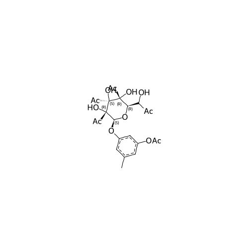 CC(=O)Oc1cc(C)cc(O[C@@H]2O[C@H](C(O)C(C)=O)[C@](O)(C(C)=O)[C@@](O)(C(C)=O)[C@]2(O)C(C)=O)c1